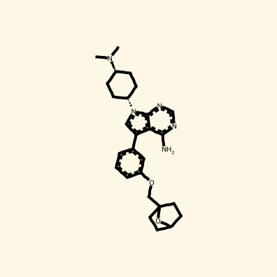 CN(C)[C@H]1CC[C@H](n2cc(-c3cccc(OCC45CCC(CC4)O5)c3)c3c(N)ncnc32)CC1